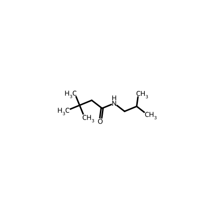 CC(C)CNC(=O)CC(C)(C)C